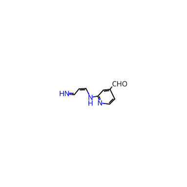 N=C/C=C\Nc1cc(C=O)ccn1